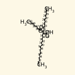 CCCCCC=CCC=CCCCCCCC(C(=O)O)C(CCCCCCCCCCCC)OC(=O)CCCCCCC